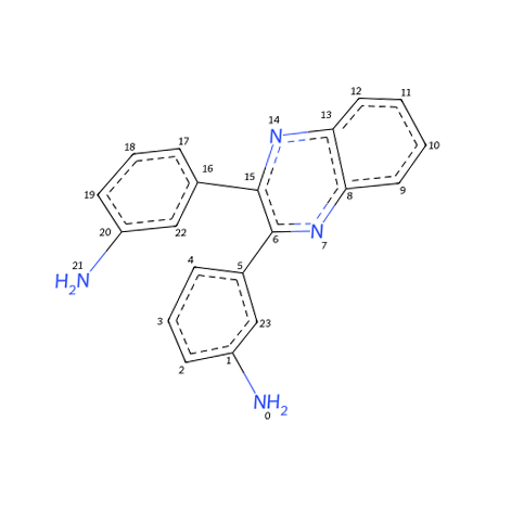 Nc1cccc(-c2nc3ccccc3nc2-c2cccc(N)c2)c1